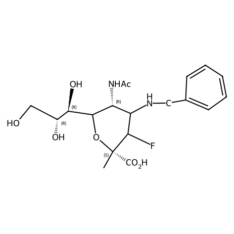 CC(=O)N[C@@H]1C(NCc2ccccc2)C(F)[C@](C)(C(=O)O)OC1[C@H](O)[C@H](O)CO